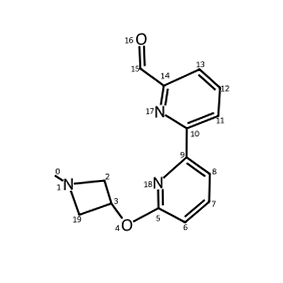 CN1CC(Oc2cccc(-c3cccc(C=O)n3)n2)C1